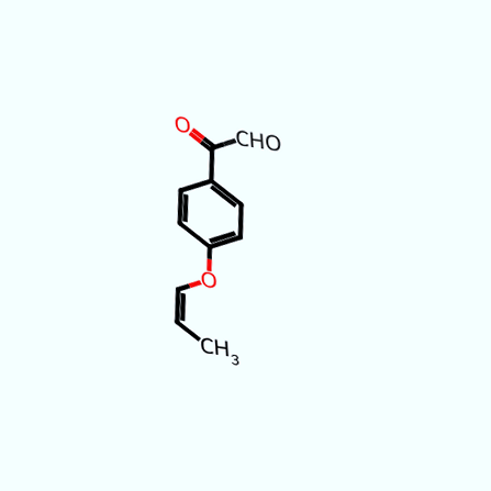 C/C=C\Oc1ccc(C(=O)C=O)cc1